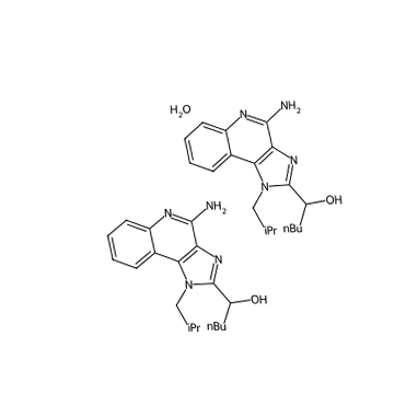 CCCCC(O)c1nc2c(N)nc3ccccc3c2n1CC(C)C.CCCCC(O)c1nc2c(N)nc3ccccc3c2n1CC(C)C.O